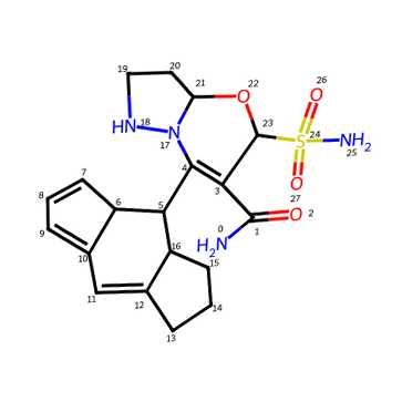 NC(=O)C1=C(C2C3C=CC=C3C=C3CCCC32)N2NCCC2OC1S(N)(=O)=O